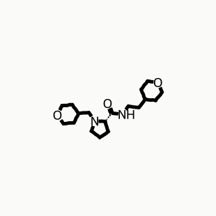 O=C(NCCC1CCOCC1)[C@@H]1CCCN1CC1CCOCC1